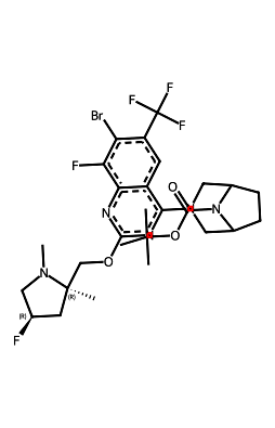 CN1C[C@H](F)C[C@]1(C)COc1nc(N2CC3CCC(C2)N3C(=O)OC(C)(C)C)c2cc(C(F)(F)F)c(Br)c(F)c2n1